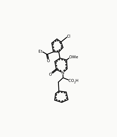 CCC(=O)c1ccc(Cl)cc1-c1cc(=O)n(C(Cc2ccccc2)C(=O)O)cc1OC